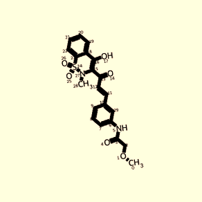 COCC(=O)Nc1cccc(C=CC(=O)C2=C(O)c3ccccc3S(=O)(=O)N2C)c1